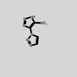 O=[N+]([O-])c1[nH]nnc1-n1ccnn1